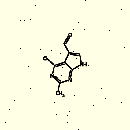 Cc1nc(Cl)c2c(C=O)c[nH]c2n1